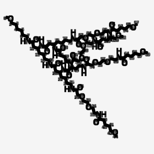 COCCCCCCNC(=O)CC(CCCCNC(=O)CC(CCCCNC(=O)COCCOCCNC(=O)CCCCOC)NC(=O)CCCNC(=O)COCCOCCNC(=O)CCCCOC)NC(=O)CC(CCCCNC(=O)COCCOCCNC(=O)CCCCOC)NC(=O)CCCNC(=O)COCCOCCNC(=O)CCCCOC